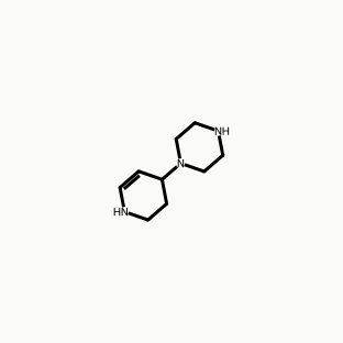 C1=CC(N2CCNCC2)CCN1